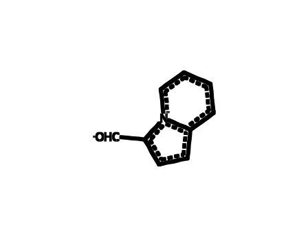 O=[C]c1ccc2ccccn12